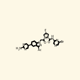 CC(=O)c1nn(CC(=O)N2C[C@H](F)C[C@H]2C(=O)Nc2cncc(Br)n2)c2ccc(-c3cnc(N)nc3)cc12